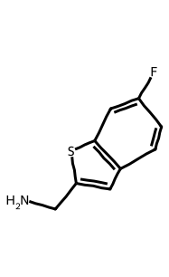 NCc1cc2ccc(F)cc2s1